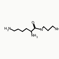 NCCCCC(N)C(=O)[N]CCCN